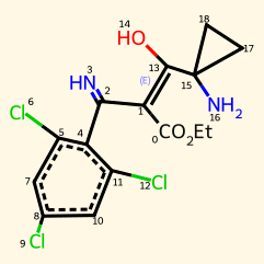 CCOC(=O)/C(C(=N)c1c(Cl)cc(Cl)cc1Cl)=C(/O)C1(N)CC1